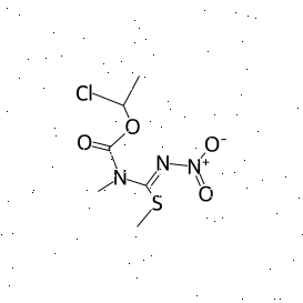 CS/C(=N\[N+](=O)[O-])N(C)C(=O)OC(C)Cl